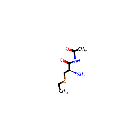 CCSC[C@H](N)C(=O)NC(C)=O